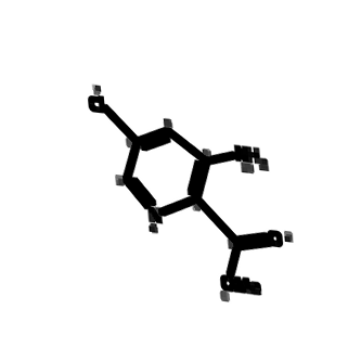 COC(=O)c1ncc(Cl)cc1N